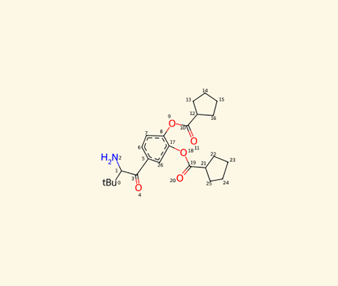 CC(C)(C)C(N)C(=O)c1ccc(OC(=O)C2CCCC2)c(OC(=O)C2CCCC2)c1